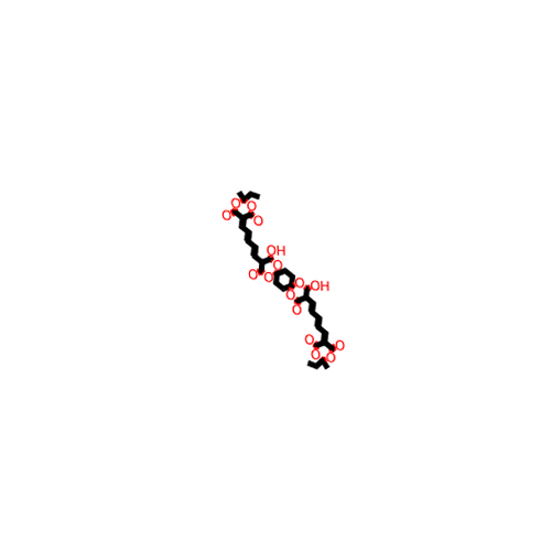 CCC1(C)OC(=O)C(=C/C=C/C=C/C2C(=O)OC3(CCC4(CC3)OC(=O)C(/C=C/C=C/C=C3C(=O)OC(C)(CC)OC3=O)C(O)O4)OC2O)C(=O)O1